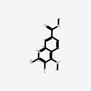 COC(=O)c1ccc2c(OC)c(F)c(Cl)nc2c1